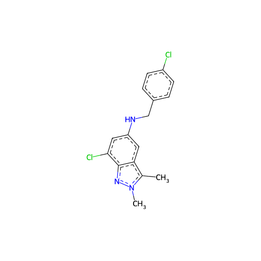 Cc1c2cc(NCc3ccc(Cl)cc3)cc(Cl)c2nn1C